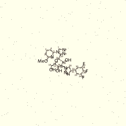 COc1cccc(-n2cnnc2[C@@H]2O[C@H](CO)[C@H](O)[C@H](n3cc(-c4cc(F)c(F)c(F)c4)nn3)[C@H]2O)n1